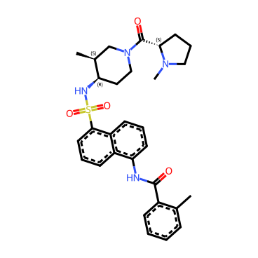 Cc1ccccc1C(=O)Nc1cccc2c(S(=O)(=O)N[C@@H]3CCN(C(=O)[C@@H]4CCCN4C)C[C@@H]3C)cccc12